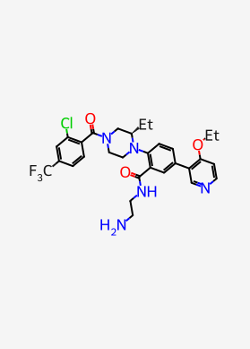 CCOc1ccncc1-c1ccc(N2CCN(C(=O)c3ccc(C(F)(F)F)cc3Cl)C[C@H]2CC)c(C(=O)NCCN)c1